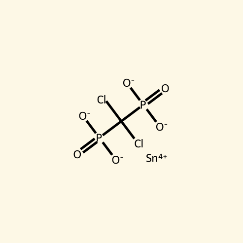 O=P([O-])([O-])C(Cl)(Cl)P(=O)([O-])[O-].[Sn+4]